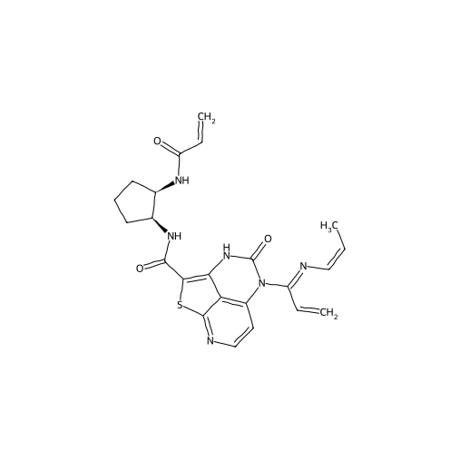 C=CC(=O)N[C@@H]1CCC[C@@H]1NC(=O)c1sc2nccc3c2c1NC(=O)N3/C(C=C)=N/C=C\C